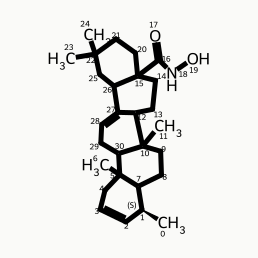 C[C@H]1C=CCC2(C)C1CCC1(C)C3CCC4(C(=O)NO)CCC(C)(C)CC4C3=CCC12